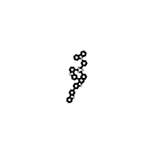 c1ccc(-c2nc(-c3cccc(-n4c5ccccc5c5ccccc54)c3)nc(-c3cccc4oc5ccc(-c6cccc7sc8cc(-c9ccc%10c(c9)sc9ccccc9%10)ccc8c67)cc5c34)n2)cc1